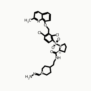 Cc1ccc2cccc(OCc3c(Cl)ccc(S(=O)(=O)N4CCC[C@H]4C(=O)NCCC4CCN(C=NN)CC4)c3Cl)c2n1